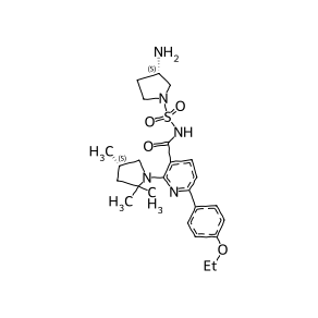 CCOc1ccc(-c2ccc(C(=O)NS(=O)(=O)N3CC[C@H](N)C3)c(N3C[C@@H](C)CC3(C)C)n2)cc1